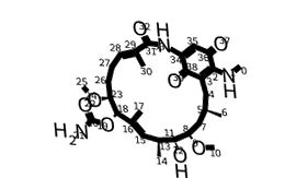 CNC1=C2C[C@@H](C)C[C@H](OC)[C@H](O)[C@@H](C)/C=C(\C)[C@H](OC(N)=O)[C@@H](OC)CC/C=C(\C)C(=O)NC(=CC1=O)C2=O